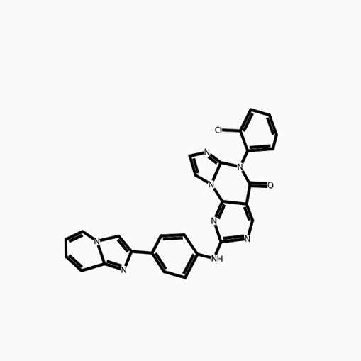 O=c1c2cnc(Nc3ccc(-c4cn5ccccc5n4)cc3)nc2n2ccnc2n1-c1ccccc1Cl